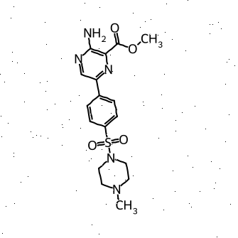 COC(=O)c1nc(-c2ccc(S(=O)(=O)N3CCN(C)CC3)cc2)cnc1N